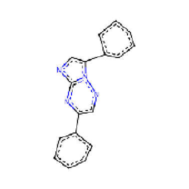 c1ccc(-c2cnn3c(-c4ccccc4)cnc3n2)cc1